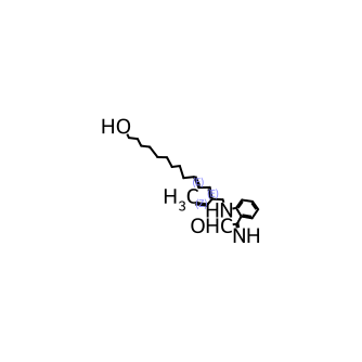 C\C=C/C(=C\C=C\CCCCCCCCCO)CNc1ccccc1C(=N)C=O